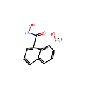 O=C(NO)c1cccc2ccccc12.O=S(=O)(O)O